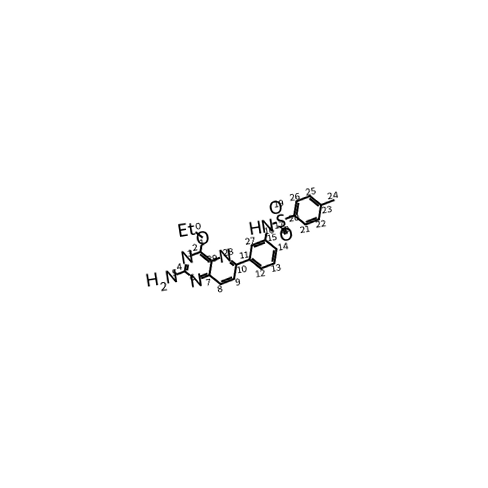 CCOc1nc(N)nc2ccc(-c3cccc(NS(=O)(=O)c4ccc(C)cc4)c3)nc12